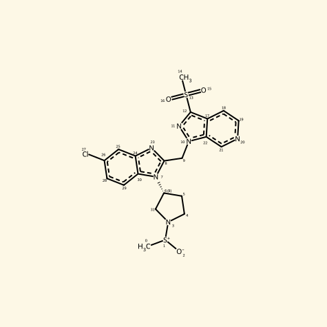 C[S+]([O-])N1CC[C@@H](n2c(Cn3nc(S(C)(=O)=O)c4ccncc43)nc3cc(Cl)ccc32)C1